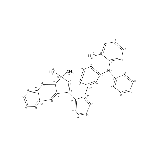 Cc1ccccc1N(c1ccccc1)c1ccc2c3c(c4ccccc4c2c1)-c1cc2ccccc2cc1C3(C)C